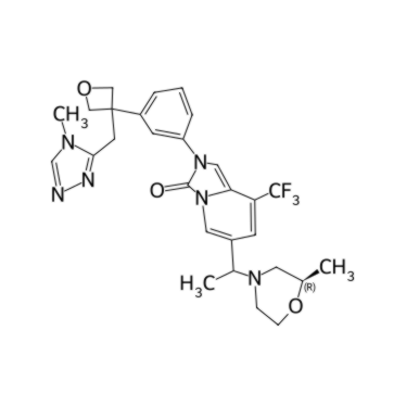 CC(c1cc(C(F)(F)F)c2cn(-c3cccc(C4(Cc5nncn5C)COC4)c3)c(=O)n2c1)N1CCO[C@H](C)C1